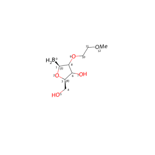 B[C@@H]1O[C@H](CO)C(O)C1OCCOC